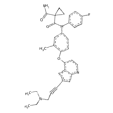 CCN(CC)CC#Cc1cc2nccc(Oc3ccc(N(C(=O)C4(C(N)=O)CC4)c4ccc(F)cc4)cc3C)c2s1